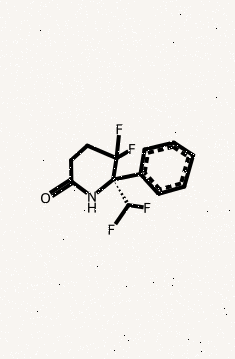 O=C1CCC(F)(F)[C@](c2ccccc2)(C(F)F)N1